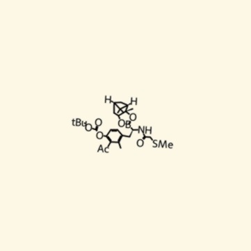 CSCC(=O)N[C@@H](Cc1ccc(OC(=O)OC(C)(C)C)c(C(C)=O)c1C)B1OC2C[C@@H]3C[C@@H](C3(C)C)[C@]2(C)O1